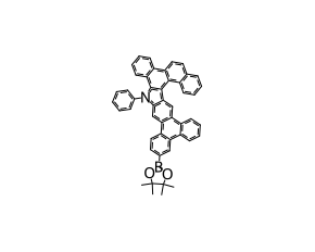 CC1(C)OB(c2ccc3c(c2)c2ccccc2c2cc4c5c6c7ccccc7ccc6c6ccccc6c5n(-c5ccccc5)c4cc32)OC1(C)C